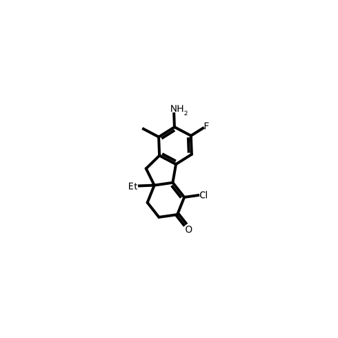 CCC12CCC(=O)C(Cl)=C1c1cc(F)c(N)c(C)c1C2